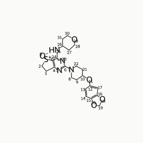 [O-][S+]1CCc2nc(N3CCC(Oc4ccc5c(c4)OCO5)CC3)nc(NC3CCOCC3)c21